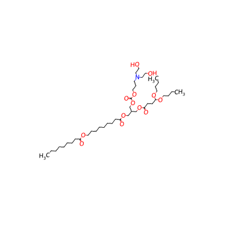 CCCCCCCCC(=O)OCCCCCCCCC(=O)OCC(COC(=O)CCC(OCCCC)OCCCC)COC(=O)OCCCN(CCO)CCO